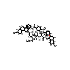 CN[C@@H](C)C(=O)N[C@H]1CN(C(=O)c2ccc(C(=O)N3C[C@H](NC(=O)[C@H](C)NC)C(=O)N(Cc4c(OC)ccc5cc(Br)ccc45)c4ccccc43)cc2)c2ccccc2N(Cc2c(OC)ccc3cc(Br)ccc23)C1=O